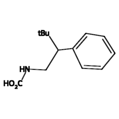 CC(C)(C)C(CNC(=O)O)c1ccccc1